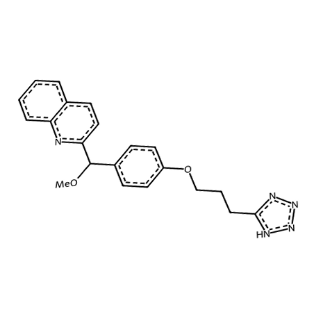 COC(c1ccc(OCCCc2nnn[nH]2)cc1)c1ccc2ccccc2n1